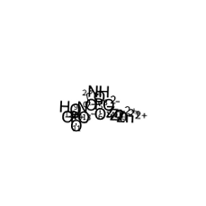 NCCN.O=P([O-])([O-])[O-].O=P([O-])([O-])[O-].[Zn+2].[Zn+2].[Zn+2]